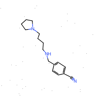 N#Cc1ccc(CNCCCCN2CCCC2)cc1